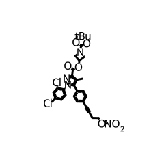 Cc1c(C(=O)OC2CN(C(=O)OC(C)(C)C)C2)nn(-c2ccc(Cl)cc2Cl)c1-c1ccc(C#CCCO[N+](=O)[O-])cc1